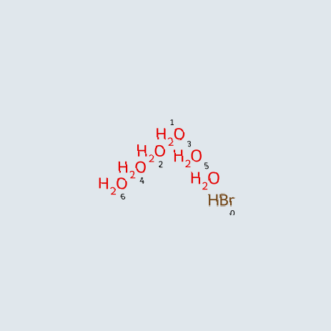 Br.O.O.O.O.O.O